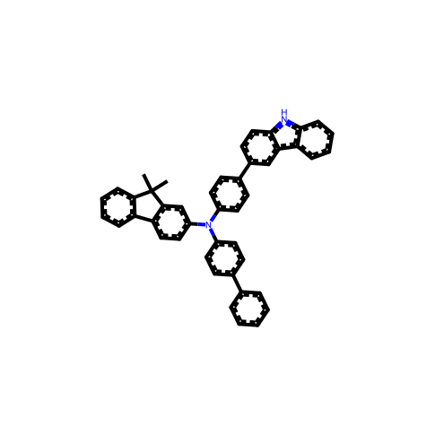 CC1(C)c2ccccc2-c2ccc(N(c3ccc(-c4ccccc4)cc3)c3ccc(-c4ccc5[nH]c6ccccc6c5c4)cc3)cc21